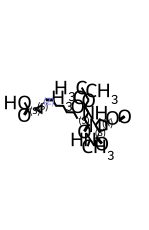 CNC(=O)[C@@H]1C[C@@H](OC=O)CN1C(=O)[C@H](CCCCC/C=C\[C@@H]1C[C@@H]1C(=O)O)NC(=O)OC(C)(C)C